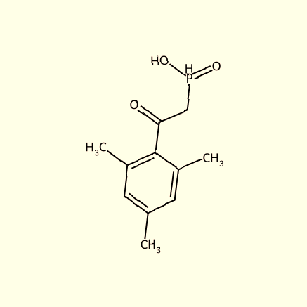 Cc1cc(C)c(C(=O)C[PH](=O)O)c(C)c1